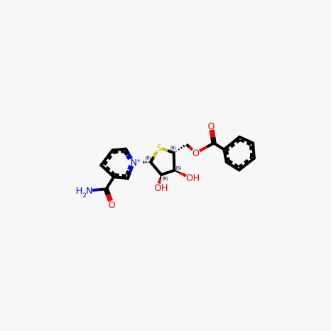 NC(=O)c1ccc[n+]([C@@H]2S[C@H](COC(=O)c3ccccc3)[C@@H](O)[C@H]2O)c1